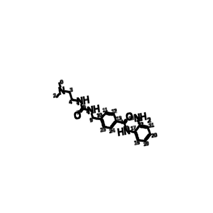 CN(C)CCNC(=O)NCc1ccc(C(=O)Nc2ccccc2N)cc1